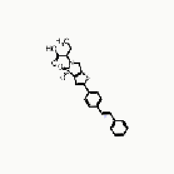 CCC(C(=O)O)N1Cc2sc(-c3ccc(/C=C/c4ccccc4)cc3)cc2S1(=O)=O